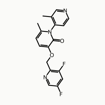 Cc1cnccc1-n1c(C)ccc(OCc2ncc(F)cc2F)c1=O